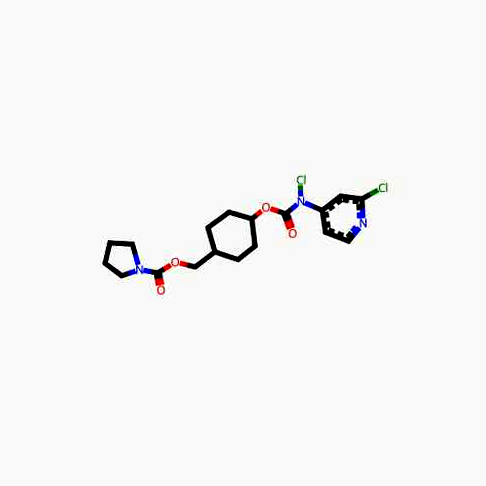 O=C(OCC1CCC(OC(=O)N(Cl)c2ccnc(Cl)c2)CC1)N1CCCC1